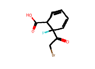 O=C(O)C1C=CC=CC1(F)C(=O)CBr